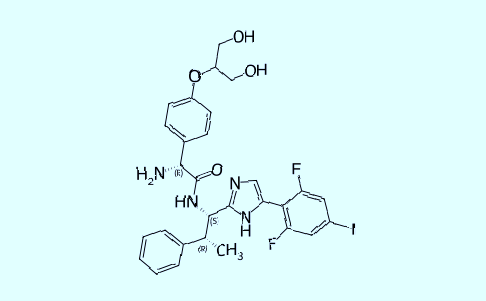 C[C@H](c1ccccc1)[C@H](NC(=O)[C@H](N)c1ccc(OC(CO)CO)cc1)c1ncc(-c2c(F)cc(I)cc2F)[nH]1